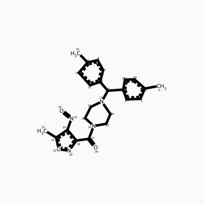 Cc1ccc(C(c2ccc(C)cc2)N2CCN(C(=O)c3noc(C)c3N=O)CC2)cc1